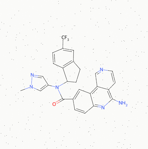 Cn1cc(N(C(=O)c2ccc3nc(N)c4ccncc4c3c2)C2CCc3cc(C(F)(F)F)ccc32)cn1